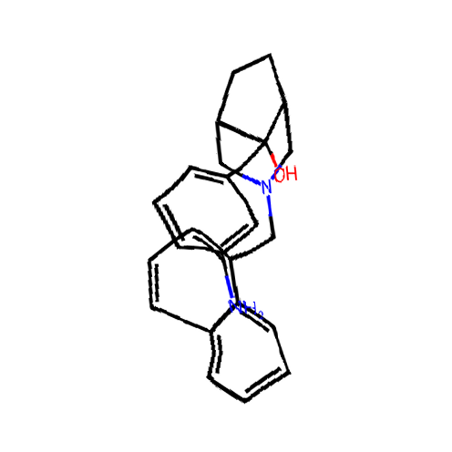 Nc1cccc(C2(O)C3CCC2CN(Cc2cccc4ccccc24)C3)c1